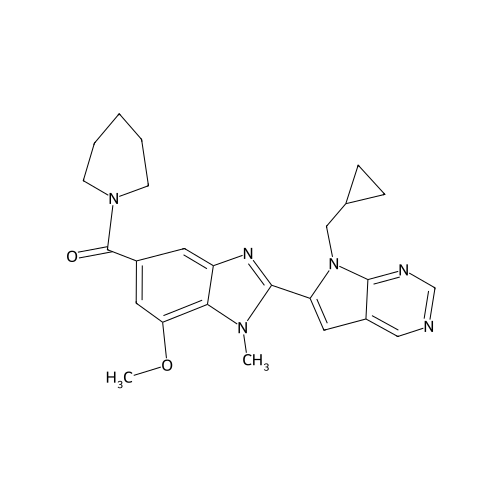 COc1cc(C(=O)N2CCCCC2)cc2nc(-c3cc4cncnc4n3CC3CC3)n(C)c12